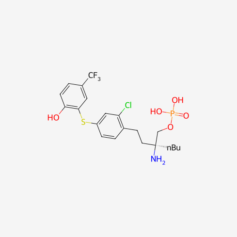 CCCC[C@](N)(CCc1ccc(Sc2cc(C(F)(F)F)ccc2O)cc1Cl)COP(=O)(O)O